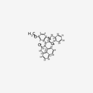 COc1ccc2c(c1)C(C1C(=O)Cc3cccc4cccc1c34)C(=O)N2Cc1ccccc1